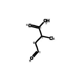 O=CCC(Cl)C(=O)O